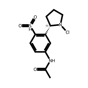 CC(=O)Nc1ccc([SH](=O)=O)c([C@@H]2CCCN2Cl)c1